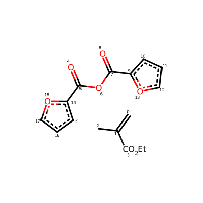 C=C(C)C(=O)OCC.O=C(OC(=O)c1ccco1)c1ccco1